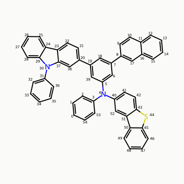 c1ccc(N(c2cc(-c3ccc4ccccc4c3)cc(-c3ccc4c5ccccc5n(-c5ccccc5)c4c3)c2)c2ccc3sc4ccccc4c3c2)cc1